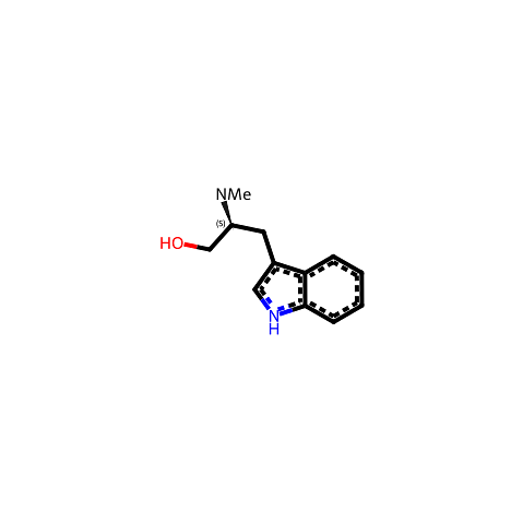 CN[C@H](CO)Cc1c[nH]c2ccccc12